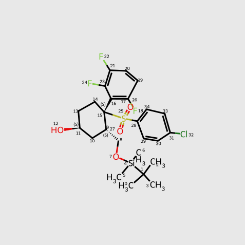 CC(C)(C)[Si](C)(C)OC[C@@H]1C[C@@H](O)CC[C@]1(c1c(F)ccc(F)c1F)S(=O)(=O)c1ccc(Cl)cc1